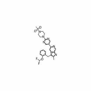 Cc1nc2cnc(-c3cnc(N4CCN(S(C)(=O)=O)CC4)nc3)cn2c1Cc1ccccc1OC(F)F